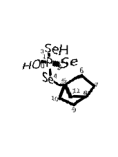 OP(=[Se])([SeH])[Se]C12CCC(CC1)C2